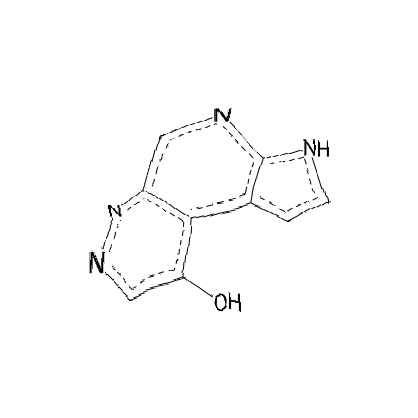 Oc1cnnc2cnc3[nH]ccc3c12